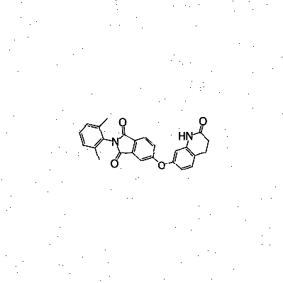 Cc1cccc(C)c1N1C(=O)c2ccc(Oc3ccc4c(c3)NC(=O)CC4)cc2C1=O